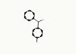 NC(c1ccccc1)c1ccc(O)cc1